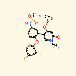 CCOc1cc(=O)n(C)cc1-c1cc(NS(C)(=O)=O)ccc1Oc1ccc(F)cc1F